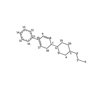 CCCC1CCC(C2C=CC(c3ccccc3)=CC2)CC1